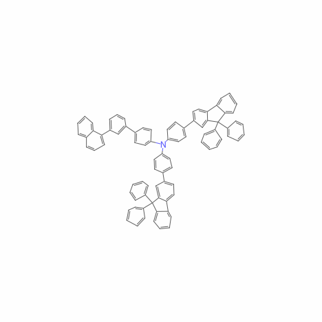 c1ccc(C2(c3ccccc3)c3ccccc3-c3ccc(-c4ccc(N(c5ccc(-c6cccc(-c7cccc8ccccc78)c6)cc5)c5ccc(-c6ccc7c(c6)C(c6ccccc6)(c6ccccc6)c6ccccc6-7)cc5)cc4)cc32)cc1